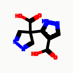 O=C(O)c1cn[nH]c1C1(C(=O)O)C=NN=C1